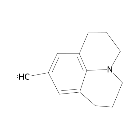 [CH]c1cc2c3c(c1)CCCN3CCC2